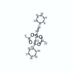 CC(=O)O[Si](C#Cc1ccccc1)(C#Cc1ccccc1)OC(C)=O